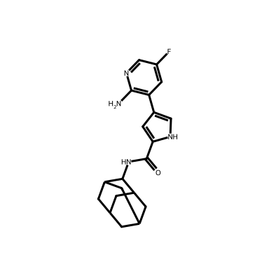 Nc1ncc(F)cc1-c1c[nH]c(C(=O)NC2C3CC4CC(C3)CC2C4)c1